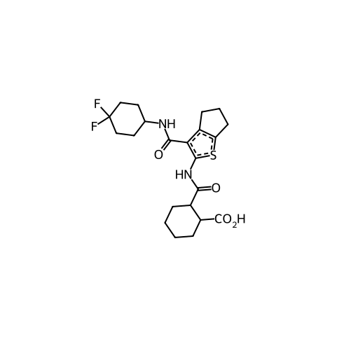 O=C(NC1CCC(F)(F)CC1)c1c(NC(=O)C2CCCCC2C(=O)O)sc2c1CCC2